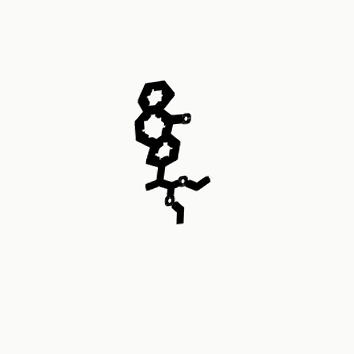 CCOC(OCC)C(C)c1ccc2c(=O)c3ccccc3ccc2c1